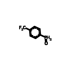 O=[PH2]c1ccc(C(F)(F)F)cc1